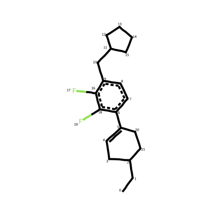 CCC1CC=C(c2ccc(CC3CCCC3)c(F)c2F)CC1